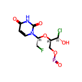 O=POC[C@@H](O[C@H](CF)n1ccc(=O)[nH]c1=O)[C@@H](O)Cl